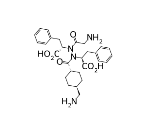 NCC(=O)N([C@@H](Cc1ccccc1)C(=O)O)N(C(=O)[C@H]1CC[C@H](CN)CC1)[C@@H](Cc1ccccc1)C(=O)O